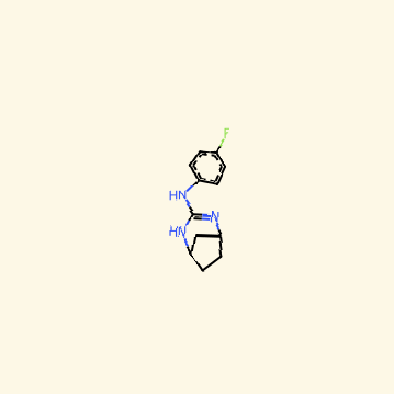 Fc1ccc(NC2=NC3CCC(C3)N2)cc1